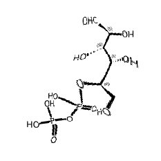 O=C[C@@H](O)[C@@H](O)[C@H](O)[C@@H](CO)OP(=O)(O)OP(=O)(O)O